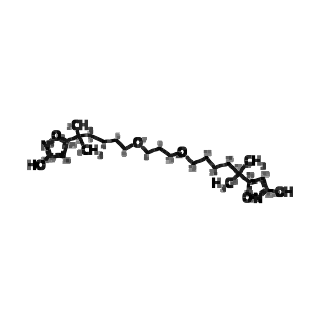 CC(C)(CCCCOCCCOCCCCC(C)(C)c1cc(O)no1)c1cc(O)no1